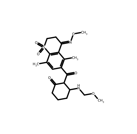 COCNC1CCCC(=O)C1C(=O)c1cc(C)c2c(c1C)C(=NOC)CCS2(=O)=O